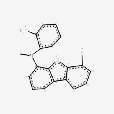 CN(c1ccccc1C(F)(F)F)c1cccc2c1oc1c(F)cccc12